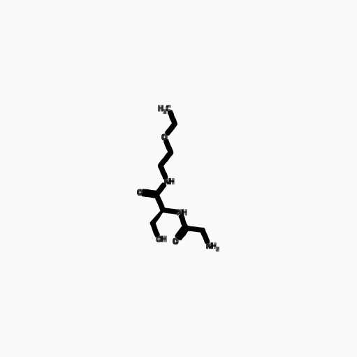 CCOCCNC(=O)[C@H](CO)NC(=O)CN